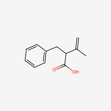 C=C(C)C(Cc1ccccc1)C(=O)O